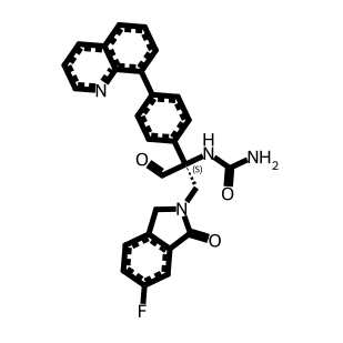 NC(=O)N[C@](C=O)(CN1Cc2ccc(F)cc2C1=O)c1ccc(-c2cccc3cccnc23)cc1